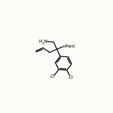 C=CCC(CN)(CCCCC)c1ccc(Cl)c(Cl)c1